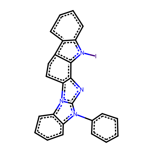 In1c2ccccc2c2ccc3c(nc4n(-c5ccccc5)c5ccccc5n34)c21